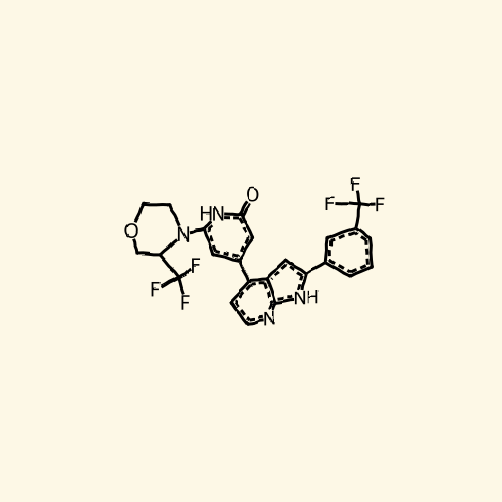 O=c1cc(-c2ccnc3[nH]c(-c4cccc(C(F)(F)F)c4)cc23)cc(N2CCOCC2C(F)(F)F)[nH]1